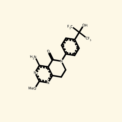 COc1nc(N)c2c(n1)CCN(c1ccc(C(O)(C(F)(F)F)C(F)(F)F)cc1)C2=O